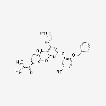 CCOC(=O)CNc1nc(Oc2cc(C#N)ccc2OCc2ccccc2)nc(Oc2cccc(C(=O)N(C)C)c2)c1[N+](=O)[O-]